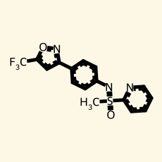 CS(=O)(=Nc1ccc(-c2cc(C(F)(F)F)on2)cc1)c1ccccn1